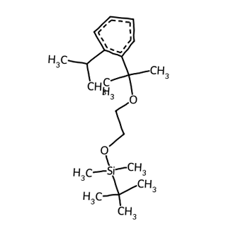 CC(C)c1ccccc1C(C)(C)OCCO[Si](C)(C)C(C)(C)C